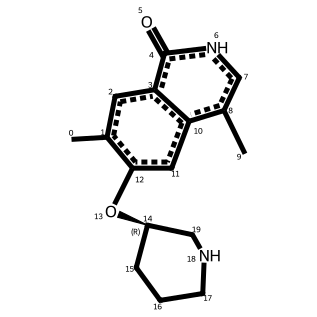 Cc1cc2c(=O)[nH]cc(C)c2cc1O[C@@H]1CCCNC1